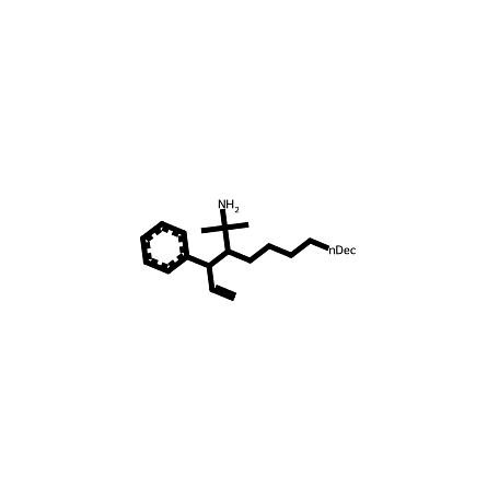 C=CC(c1ccccc1)C(CCCCCCCCCCCCCC)C(C)(C)N